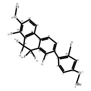 CCCCOc1ccc(-c2ccc3c(c2F)C(F)(F)C(F)(F)c2c-3ccc(OCC)c2F)c(F)c1